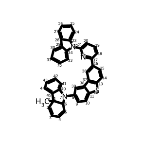 CC12C=CC=CC1N(c1ccc3sc4ccc(-c5cccc(-n6c7ccccc7c7ccccc76)n5)cc4c3c1)c1ccccc12